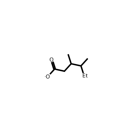 CCC(C)C(C)CC([O])=O